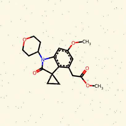 COC(=O)Cc1cc(OC)cc2c1C1(CC1)C(=O)N2C1CCOCC1